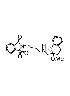 COC1(CNCCCCN2C(=O)c3ccccc3S2(=O)=O)CCc2ccccc2O1